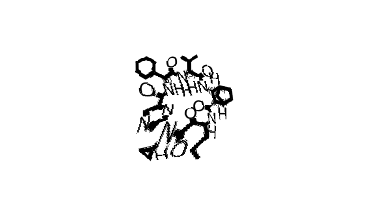 CCCC(NC(=O)[C@@H]1[C@H]2CC[C@H](C2)[C@@H]1NC(=O)[C@@H](NC(=O)[C@@H](NC(=O)c1cnccn1)C1CCCCC1)C(C)C)C(=O)C(=O)NC1CC1